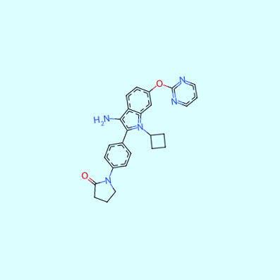 Nc1c(-c2ccc(N3CCCC3=O)cc2)n(C2CCC2)c2cc(Oc3ncccn3)ccc12